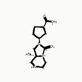 O=C(O)[C@@H]1CC[C@H](N2C[C@@H]3CNCCN3C2=O)C1